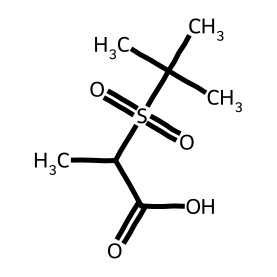 CC(C(=O)O)S(=O)(=O)C(C)(C)C